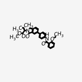 CCOc1ccccc1C(=O)Nc1ccc(-c2ccc3c(c2)C(=O)N(C(C(=O)OC)C(C)C)C3)cc1